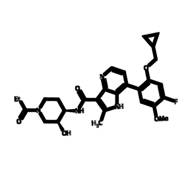 CCC(=O)N1CC[C@@H](NC(=O)c2c(C)[nH]c3c(-c4cc(OC)c(F)cc4OCC4CC4)ccnc23)[C@@H](O)C1